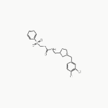 O=C(CCS(=O)(=O)c1ccccc1)NCC1CCN(Cc2ccc(Cl)c(Cl)c2)C1